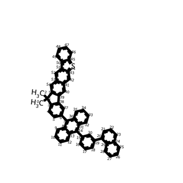 CC1(C)c2ccc(-c3c4ccccc4c(-c4cccc(-c5cccc6ccccc56)c4)c4ccccc34)cc2-c2cc3cc4sc5ccccc5c4cc3cc21